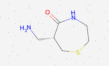 NC[C@H]1CSCCNC1=O